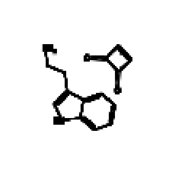 NCCc1c[nH]c2ccccc12.O=c1ccc1=O